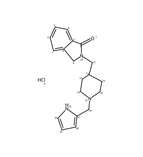 Cl.O=C1c2ccccc2CN1CC1CCN(Cc2ccc[nH]2)CC1